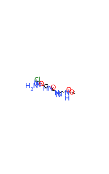 CC(C)(C)OCC(=O)NCCCc1cn(CCCC(=O)NCc2ccc(COc3cc(Cl)nc(N)n3)cc2)nn1